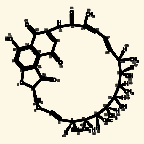 CO[C@H]1/C=C/O[C@@]2(C)Oc3cc(O)c4c(c3C2=O)C(=O)C=C(NC(=O)/C(C)=C\C=C\[C@H](C)[C@H](O)[C@@H](C)[C@@H](O)[C@@H](C)[C@H](OC(C)=O)[C@@H]1C)C4=O